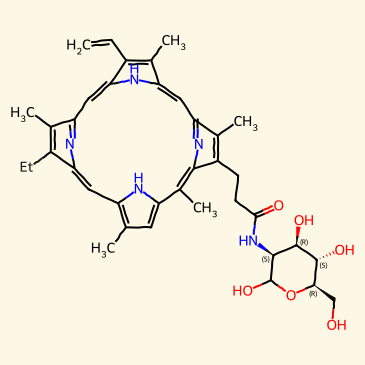 C=Cc1c(C)c2cc3nc(c(C)c4cc(C)c(cc5nc(cc1[nH]2)C(C)=C5CC)[nH]4)C(CCC(=O)N[C@@H]1C(O)O[C@H](CO)[C@@H](O)[C@@H]1O)=C3C